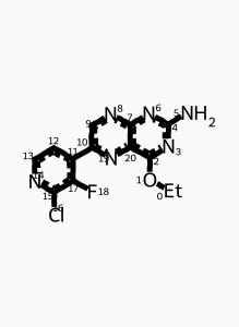 CCOc1nc(N)nc2ncc(-c3ccnc(Cl)c3F)nc12